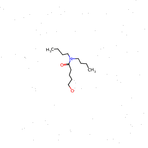 CCCCN(CCCC)C(=O)CCCC[O]